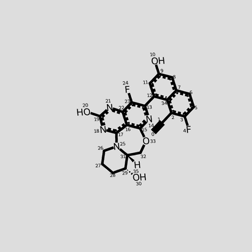 C#Cc1c(F)ccc2cc(O)cc(-c3nc4c5c(nc(O)nc5c3F)N3CCC[C@@H](O)[C@H]3CO4)c12